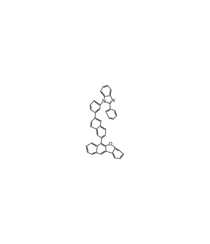 c1ccc(-c2nc3ccccc3n2-c2cccc(-c3ccc4cc(-c5c6ccccc6cc6c5oc5ccccc56)ccc4c3)c2)cc1